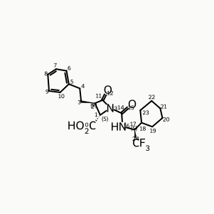 O=C(O)[C@@H]1[C@@H](CCc2ccccc2)C(=O)N1C(=O)N[C@@H](C1CCCCC1)C(F)(F)F